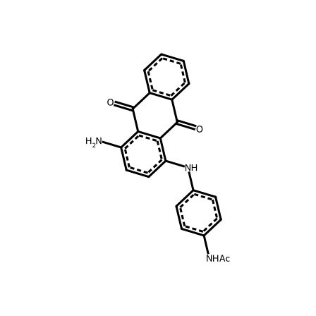 CC(=O)Nc1ccc(Nc2ccc(N)c3c2C(=O)c2ccccc2C3=O)cc1